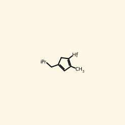 CC1=[C]([Hf])CC(CC(C)C)=C1